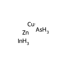 [AsH3].[Cu].[InH3].[Zn]